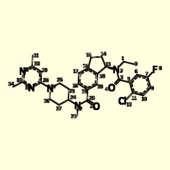 CCN(C(=O)c1cc(F)ccc1Cl)[C@@H]1CCc2ccc(C(=O)N(C)C3CCN(c4cc(C)nc(C)n4)CC3)cc21